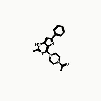 CC(=O)N1CCN(c2nc(C)[nH]c3cc(-c4ccccc4)nc2-3)CC1